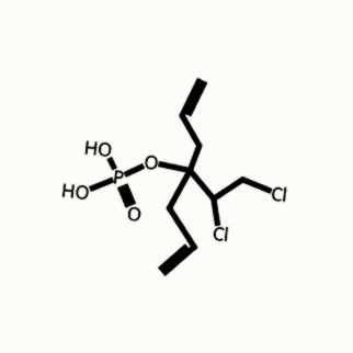 C=CCC(CC=C)(OP(=O)(O)O)C(Cl)CCl